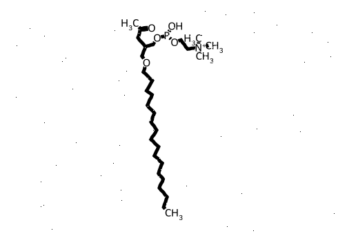 CCCCCCCCCCCCCCCCCCOCC(COP(O)OCC[N+](C)(C)C)CC(C)=O